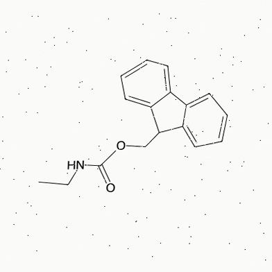 CCNC(=O)OCC1c2ccccc2-c2ccccc21